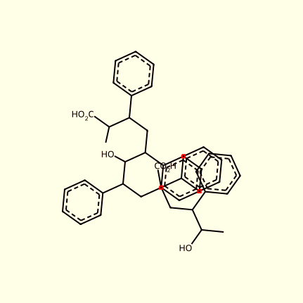 CC(O)C(CC(CC(c1ccccc1)C(O)C(CC(c1ccccc1)C(C)C(=O)O)c1ccccc1)(C(=O)O)c1ccccc1)c1ccccc1